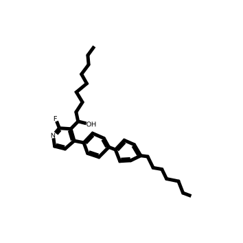 CCCCCCCCC(O)c1c(-c2ccc(-c3ccc(CCCCCCC)cc3)cc2)ccnc1F